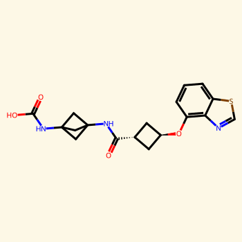 O=C(O)NC12CC(NC(=O)[C@H]3C[C@H](Oc4cccc5scnc45)C3)(C1)C2